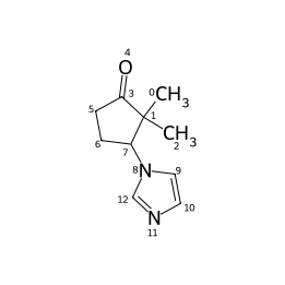 CC1(C)C(=O)CCC1n1ccnc1